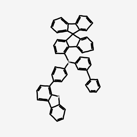 c1ccc(-c2cccc(N(c3ccc(-c4cccc5c4sc4ccccc45)cc3)c3cccc4c3-c3ccccc3C43c4ccccc4-c4ccccc43)c2)cc1